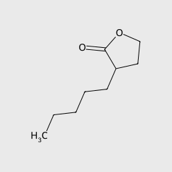 CCCCCC1CCOC1=O